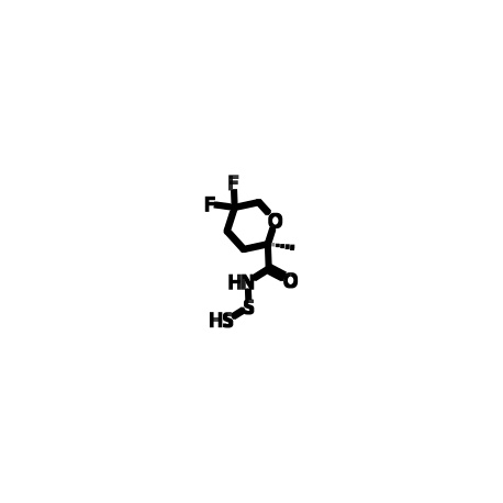 C[C@]1(C(=O)NSS)CCC(F)(F)CO1